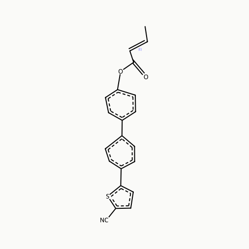 C/C=C/C(=O)Oc1ccc(-c2ccc(-c3ccc(C#N)s3)cc2)cc1